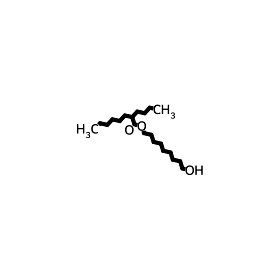 CCCCCCC(CCCC)C(=O)OCCCCCCCCCO